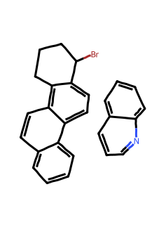 BrC1CCCc2c1ccc1c2ccc2ccccc21.c1ccc2ncccc2c1